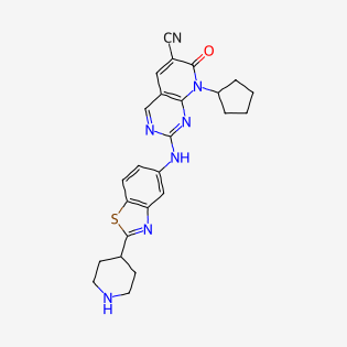 N#Cc1cc2cnc(Nc3ccc4sc(C5CCNCC5)nc4c3)nc2n(C2CCCC2)c1=O